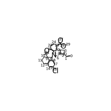 C=C[C@@H]1CC[C@H]1CN1CC2(CCCc3cc(Cl)ccc32)COc2ccc(C(=O)OC)cc21